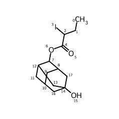 CCC(I)C(=O)OC1C2CC3CC1CC(O)(C3)C2